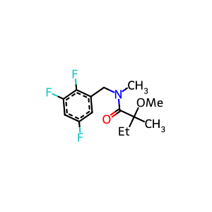 CCC(C)(OC)C(=O)N(C)Cc1cc(F)cc(F)c1F